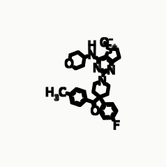 Cc1ccc(C(=O)C2(c3ccc(F)cc3)CCN(c3nc4c(c(NC5CCOCC5)n3)[S+]([O-])CC4)CC2)cc1